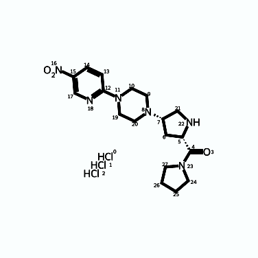 Cl.Cl.Cl.O=C([C@@H]1C[C@H](N2CCN(c3ccc([N+](=O)[O-])cn3)CC2)CN1)N1CCCC1